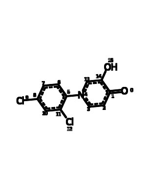 O=c1ccn(-c2ccc(Cl)cc2Cl)cc1O